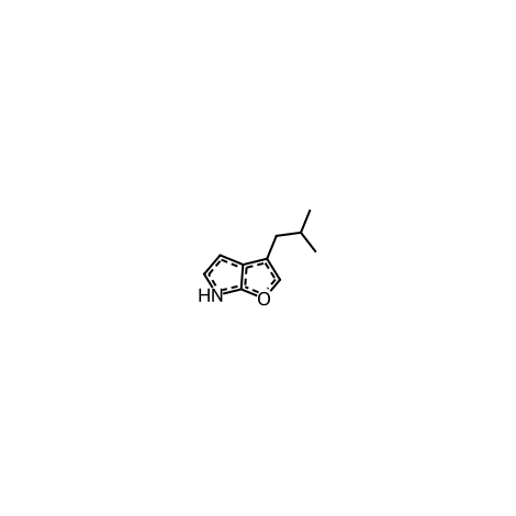 CC(C)Cc1coc2[nH]ccc12